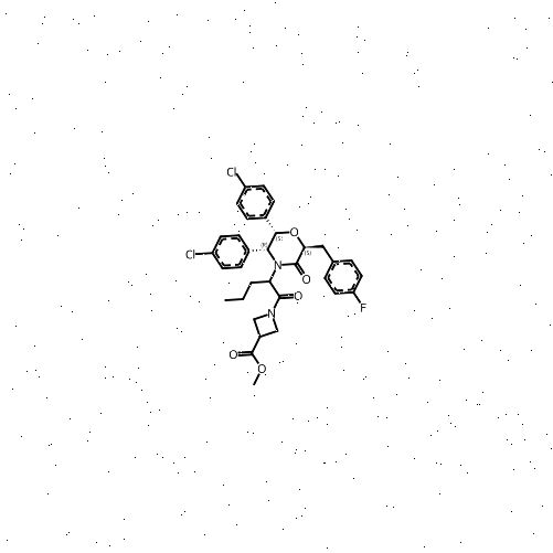 CCCC(C(=O)N1CC(C(=O)OC)C1)N1C(=O)[C@H](Cc2ccc(F)cc2)O[C@@H](c2ccc(Cl)cc2)[C@H]1c1ccc(Cl)cc1